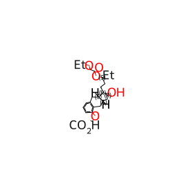 CCOCC(=O)O[C@@H](CC)CC[C@@H]1[C@H]2Cc3cccc(OCC(=O)O)c3C[C@H]2C[C@H]1O